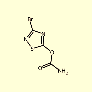 NC(=O)Oc1nc(Br)ns1